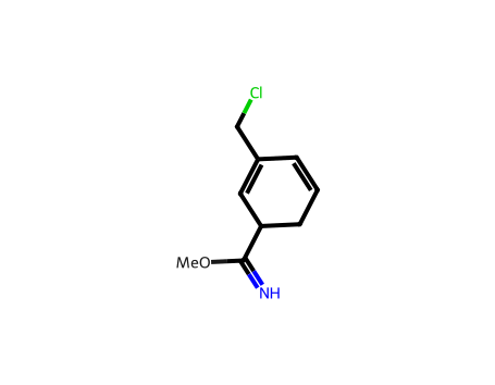 COC(=N)C1C=C(CCl)C=CC1